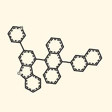 c1cncc(-c2cc(-c3c4ccccc4c(-c4ccc5ccccc5c4)c4ccccc34)c3c(c2)oc2ccccc23)c1